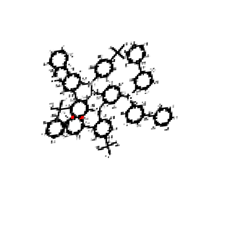 CC(C)(C)c1ccc(N2B3c4ccc(N(c5cccc(-c6ccccc6)c5)c5cccc(-c6ccccc6)c5)cc4N(c4ccc(C(C)(C)C)cc4-c4ccccc4)c4cc5c(c(c43)-c3cc4oc6ccccc6c4cc32)C(C)(C)c2ccccc2-5)cc1